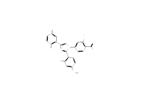 COc1ccc(-c2nc(-c3cc(F)ccc3O)cn2-c2ccc(C(=O)O)c(OC)c2)c(O)c1